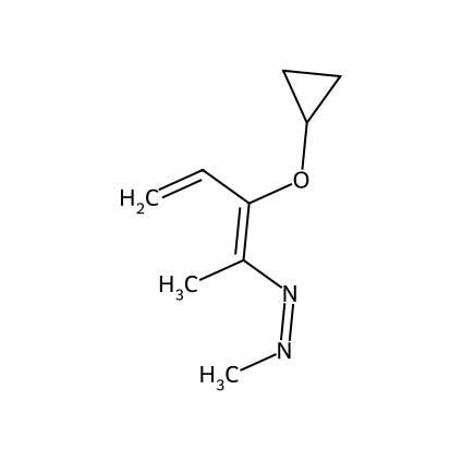 C=C/C(OC1CC1)=C(C)/N=N\C